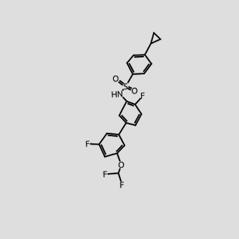 O=S(=O)(Nc1cc(-c2cc(F)cc(OC(F)F)c2)ccc1F)c1ccc(C2CC2)cc1